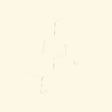 CNC(=O)Oc1c(C)cc([N+](=O)[O-])cc1[N+](=O)[O-]